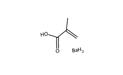 C=C(C)C(=O)O.[BaH2]